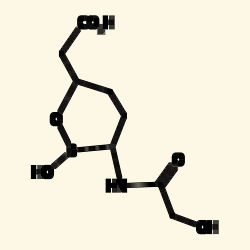 O=C(O)CC1CCC(NC(=O)CO)B(O)O1